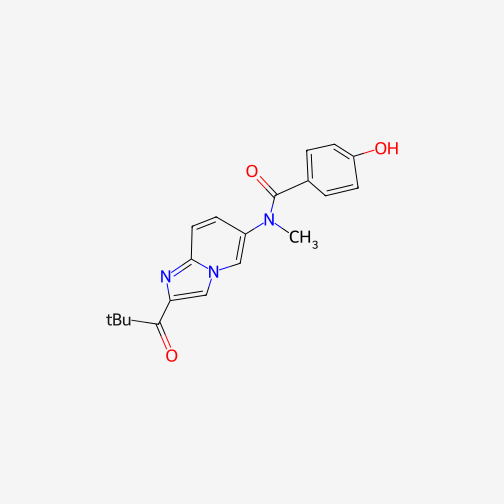 CN(C(=O)c1ccc(O)cc1)c1ccc2nc(C(=O)C(C)(C)C)cn2c1